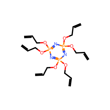 C=CCOP1(OCC=C)=NP(OCC=C)(OCC=C)=NP(OCC=C)(OCC=C)=N1